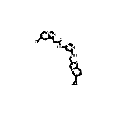 O=C(Cc1ncn2ccc(Cl)cc12)Nc1cc(NCc2cn3cc(C4CC4)ccc3n2)ncn1